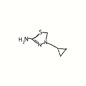 NC1=NN(C2CC2)CS1